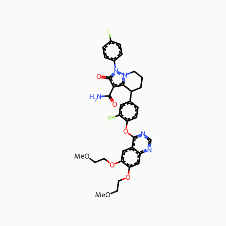 COCCOc1cc2ncnc(Oc3ccc(C4CCCn5c4c(C(N)=O)c(=O)n5-c4ccc(F)cc4)cc3F)c2cc1OCCOC